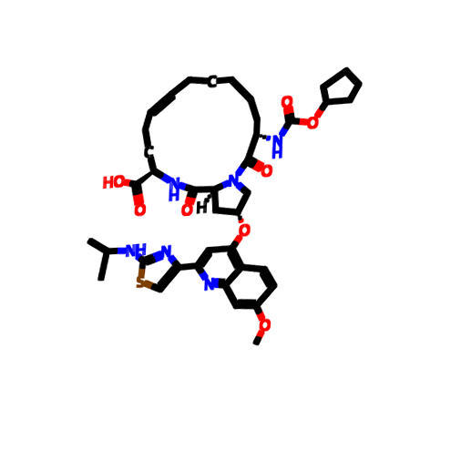 COc1ccc2c(O[C@@H]3C[C@H]4C(=O)N[C@@H](C(=O)O)CCC=CCCCCC[C@H](NC(=O)OC5CCCC5)C(=O)N4C3)cc(-c3csc(NC(C)C)n3)nc2c1